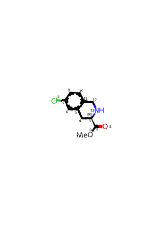 COC(=O)[C@H]1Cc2cc(Cl)ccc2CN1